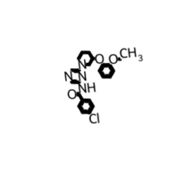 CCOc1ccccc1OC1CCCN(c2cncc(NC(=O)c3ccc(Cl)cc3)n2)C1